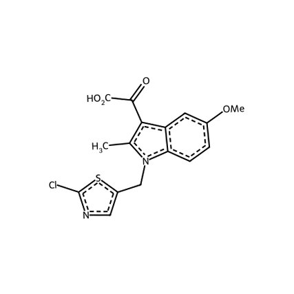 COc1ccc2c(c1)c(C(=O)C(=O)O)c(C)n2Cc1cnc(Cl)s1